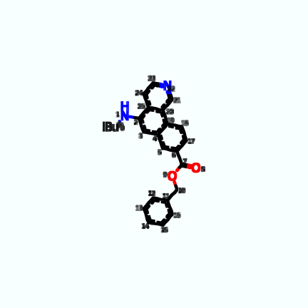 CC[C@@H](C)Nc1cc2cc(C(=O)OCc3ccccc3)ccc2c2cnccc12